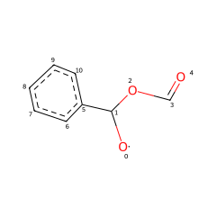 [O]C(OC=O)c1ccccc1